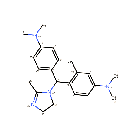 CCN(CC)c1ccc(C(c2ccc(N(C)C)cc2)N2CCN=C2C)c(C)c1